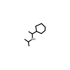 CC(C)NC(C)C1CCCCC1